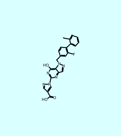 Cc1ccccc1-c1ccc(Cn2ncc3nc(-n4cc(C(=O)O)cn4)nc(O)c32)cc1F